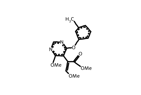 CO/C=C(\C(=O)OC)c1c(OC)ncnc1Oc1cccc(C)c1